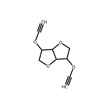 C#COC1COC2C(OC#C)COC12